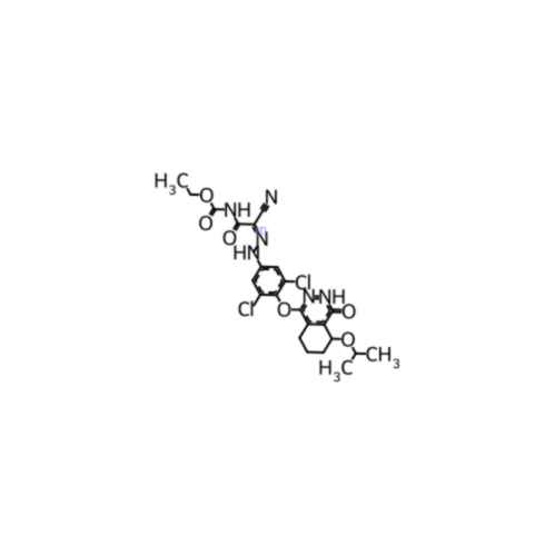 CCOC(=O)NC(=O)/C(C#N)=N\Nc1cc(Cl)c(Oc2n[nH]c(=O)c3c2CCCC3OC(C)C)c(Cl)c1